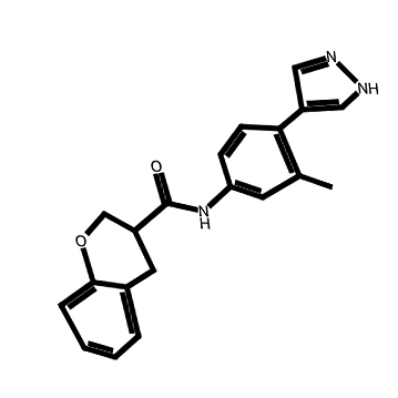 Cc1cc(NC(=O)C2COc3ccccc3C2)ccc1-c1cn[nH]c1